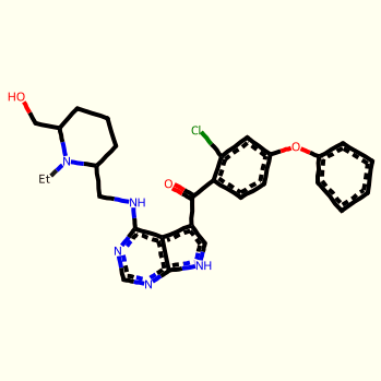 CCN1C(CO)CCCC1CNc1ncnc2[nH]cc(C(=O)c3ccc(Oc4ccccc4)cc3Cl)c12